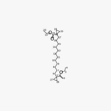 C=C(OCC)C1(CCCCCCCCCCCCC2(C(=O)OCC)CC2)CC1